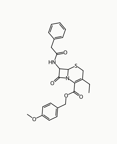 CCC1=C(C(=O)OCc2ccc(OC)cc2)N2C(=O)C(NC(=O)Cc3ccccc3)C2SC1